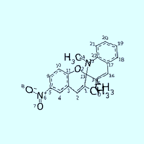 CC1=Cc2cc([N+](=O)[O-])ccc2OC12C(C)=Cc1ccccc1N2C